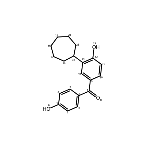 O=C(c1ccc(O)cc1)c1ccc(O)c(C2CCCCCC2)c1